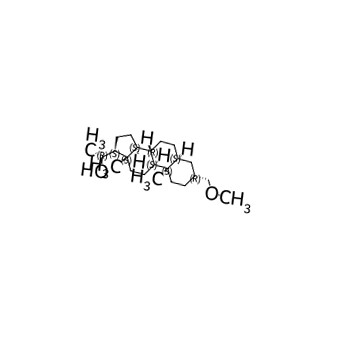 COC[C@@H]1CC[C@@]2(C)[C@@H](CC[C@@H]3[C@@H]2CC[C@]2(C)[C@@H]([C@@H](C)O)CC[C@@H]32)C1